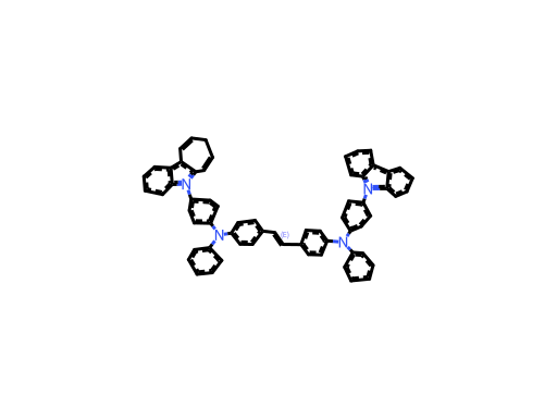 C1=Cc2c(n(-c3ccc(N(c4ccccc4)c4ccc(/C=C/c5ccc(N(c6ccccc6)c6ccc(-n7c8ccccc8c8ccccc87)cc6)cc5)cc4)cc3)c3ccccc23)C=CC1